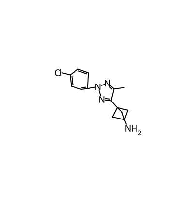 Cc1nn(-c2ccc(Cl)cc2)nc1C12CC(N)(C1)C2